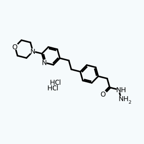 Cl.Cl.NNC(=O)Cc1ccc(CCc2ccc(N3CCOCC3)nc2)cc1